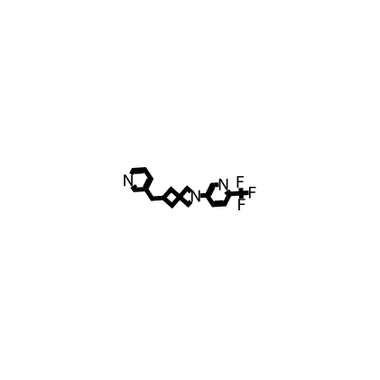 FC(F)(F)c1ccc(N2CC3(CC(Cc4cccnc4)C3)C2)cn1